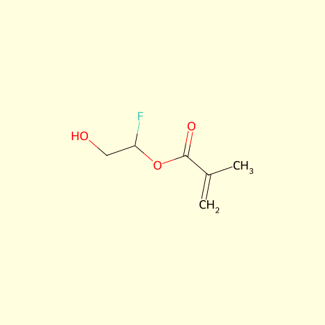 C=C(C)C(=O)OC(F)CO